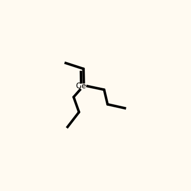 C[CH]=[Ge]([CH2]CC)[CH2]CC